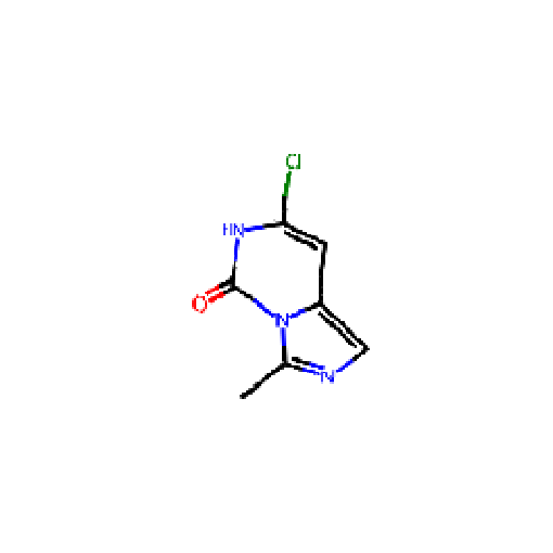 Cc1ncc2cc(Cl)[nH]c(=O)n12